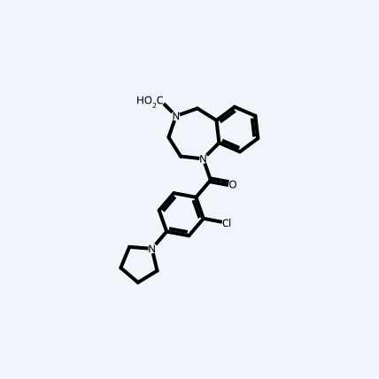 O=C(O)N1CCN(C(=O)c2ccc(N3CCCC3)cc2Cl)c2ccccc2C1